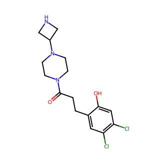 O=C(CCc1cc(Cl)c(Cl)cc1O)N1CCN(C2CNC2)CC1